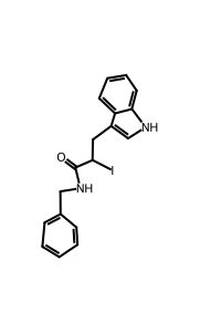 O=C(NCc1ccccc1)C(I)Cc1c[nH]c2ccccc12